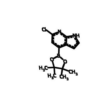 CC1(C)OB(c2cc(Cl)nc3[nH]ccc23)OC1(C)C